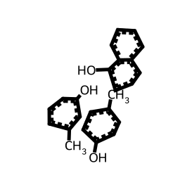 Cc1ccc(O)cc1.Cc1cccc(O)c1.Oc1cccc2ccccc12